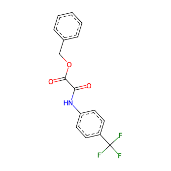 O=C(Nc1ccc(C(F)(F)F)cc1)C(=O)OCc1ccccc1